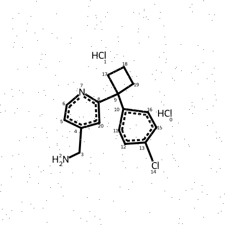 Cl.Cl.NCc1ccnc(C2(c3ccc(Cl)cc3)CCC2)c1